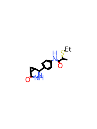 CCSC(C)C(=O)Nc1ccc(C2=NNC(=O)C3CC23)cc1